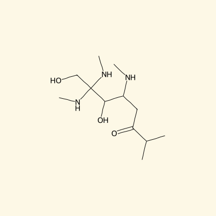 CNC(CC(=O)C(C)C)C(O)C(CO)(NC)NC